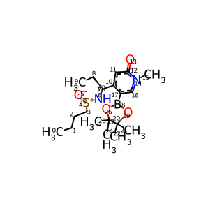 CCCC[S@+]([O-])N[C@@H](CC)c1cc(=O)n(C)cc1B1OC(C)(C)C(C)(C)O1